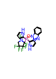 FN1CC(F)(F)C(F)(F)C1(F)[P](On1nnc2ccccc21)(c1ccc[nH]1)c1ccc[nH]1